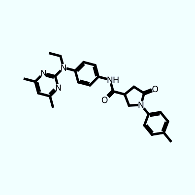 CCN(c1ccc(NC(=O)C2CC(=O)N(c3ccc(C)cc3)C2)cc1)c1nc(C)cc(C)n1